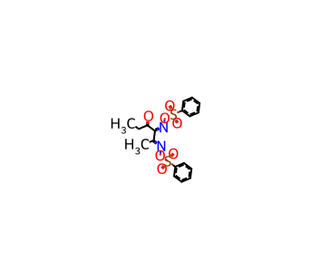 CCC(=O)C(=NOS(=O)(=O)c1ccccc1)C(C)=NOS(=O)(=O)c1ccccc1